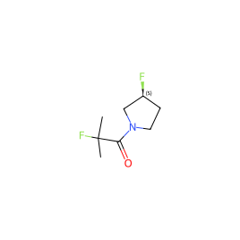 CC(C)(F)C(=O)N1CC[C@H](F)C1